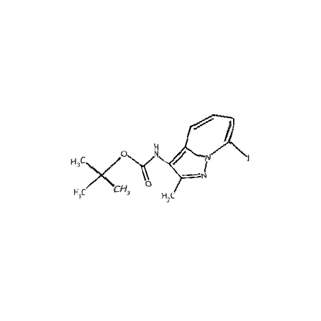 Cc1nn2c(I)cccc2c1NC(=O)OC(C)(C)C